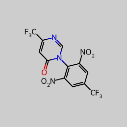 O=c1cc(C(F)(F)F)ncn1-c1c([N+](=O)[O-])cc(C(F)(F)F)cc1[N+](=O)[O-]